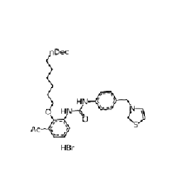 Br.CCCCCCCCCCCCCCCCOc1c(NC(=O)Nc2ccc(CN3C=CSC3)cc2)cccc1C(C)=O